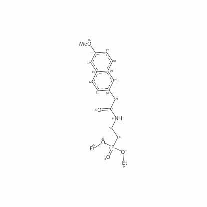 CCOP(=O)(CCNC(=O)Cc1ccc2cc(OC)ccc2c1)OCC